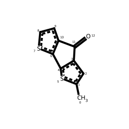 Cc1cc2c(s1)-c1sccc1C2=O